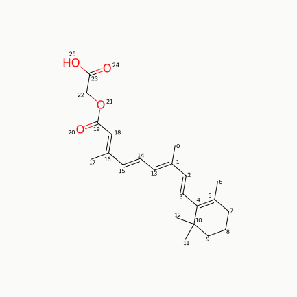 CC(C=CC1=C(C)CCCC1(C)C)=CC=CC(C)=CC(=O)OCC(=O)O